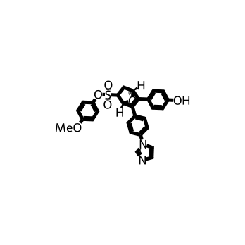 COc1ccc(OS(=O)(=O)C2C[C@H]3O[C@@H]2C(c2ccc(-n4ccnc4)cc2)=C3c2ccc(O)cc2)cc1